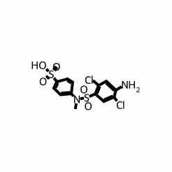 CN(c1ccc(S(=O)(=O)O)cc1)S(=O)(=O)c1cc(Cl)c(N)cc1Cl